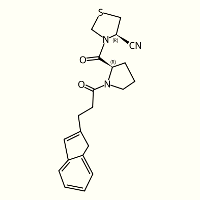 N#C[C@@H]1CSCN1C(=O)[C@H]1CCCN1C(=O)CCC1=Cc2ccccc2C1